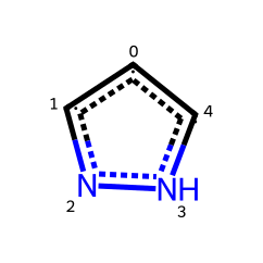 [c]1[c]n[nH][c]1